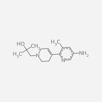 Cc1cc(N)cnc1C1=CCN(CC(C)(C)O)CC1